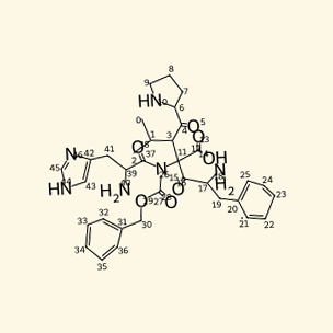 CC(C)C(C(=O)C1CCCN1)C(C(=O)O)(C(=O)C(N)Cc1[c]cccc1)N(C(=O)OCc1ccccc1)C(=O)C(N)Cc1c[nH]cn1